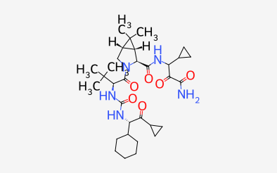 CC(C)(C)[C@H](NC(=O)N[C@H](C(=O)C1CC1)C1CCCCC1)C(=O)N1C[C@H]2[C@@H]([C@H]1C(=O)NC(C(=O)C(N)=O)C1CC1)C2(C)C